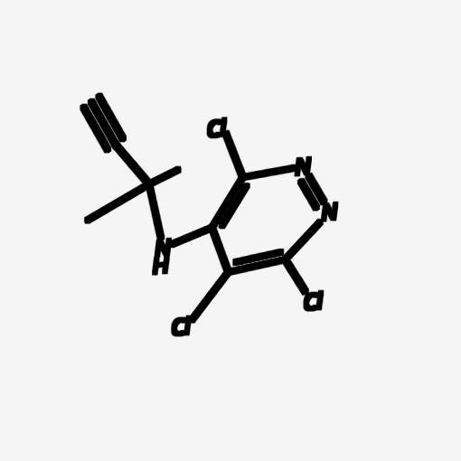 C#CC(C)(C)Nc1c(Cl)nnc(Cl)c1Cl